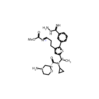 COC(=O)/N=C/CCc1cc([C@@H](C)N(C(=O)[C@H]2CN(N)CCO2)C2CC2)sc1-c1cccc(C(=N)NN)c1